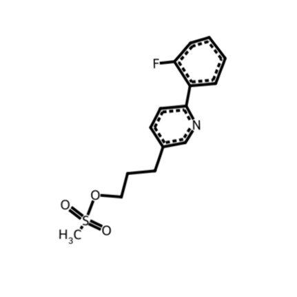 CS(=O)(=O)OCCCc1ccc(-c2ccccc2F)nc1